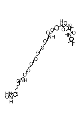 Cc1cc(NC(=O)c2c(C)c(C(=O)C(=O)NC3CCC(OCC(=O)NCCOCCOCCOCCOCCOCCOCCOCCNC(=O)CCCC[C@@H]4SCC5NC(=O)NC54)CC3)n(C)c2C)ccc1F